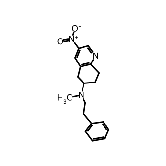 CN(CCc1ccccc1)C1CCc2ncc([N+](=O)[O-])cc2C1